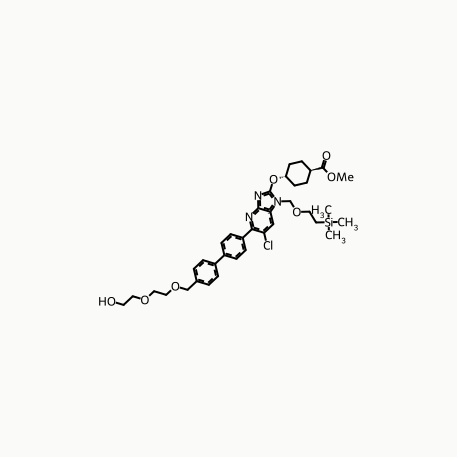 COC(=O)[C@H]1CC[C@H](Oc2nc3nc(-c4ccc(-c5ccc(COCCOCCO)cc5)cc4)c(Cl)cc3n2COCC[Si](C)(C)C)CC1